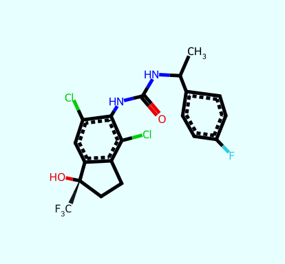 CC(NC(=O)Nc1c(Cl)cc2c(c1Cl)CC[C@@]2(O)C(F)(F)F)c1ccc(F)cc1